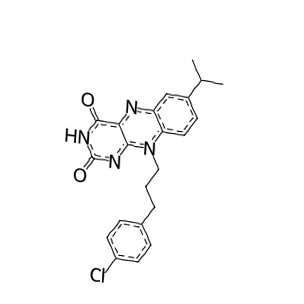 CC(C)c1ccc2c(c1)nc1c(=O)[nH]c(=O)nc-1n2CCCc1ccc(Cl)cc1